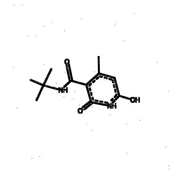 Cc1cc(O)[nH]c(=O)c1C(=O)NC(C)(C)C